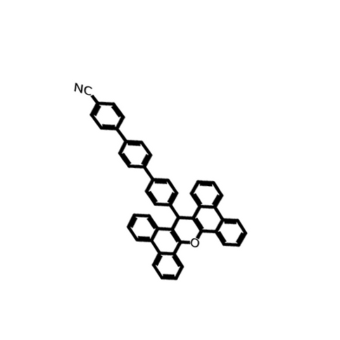 N#Cc1ccc(-c2ccc(-c3ccc(C4c5c(c6ccccc6c6ccccc56)Oc5c4c4ccccc4c4ccccc54)cc3)cc2)cc1